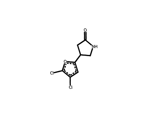 O=C1CC(c2cc(Cl)c(Cl)o2)CN1